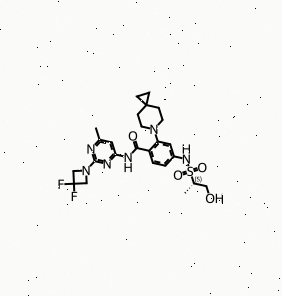 Cc1cc(NC(=O)c2ccc(NS(=O)(=O)[C@@H](C)CO)cc2N2CCC3(CC2)CC3)nc(N2CC(F)(F)C2)n1